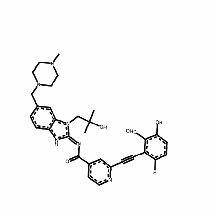 CN1CCN(Cc2ccc3[nH]/c(=N\C(=O)c4ccnc(C#Cc5c(F)ccc(O)c5C=O)c4)n(CC(C)(C)O)c3c2)CC1